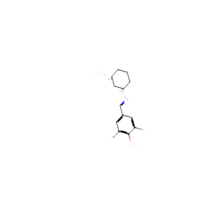 Oc1c(Cl)cc(C=N[C@H]2CCC[C@@H](O)C2)cc1Cl